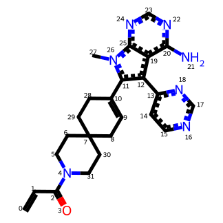 C=CC(=O)N1CCC2(CC=C(c3c(-c4ccncn4)c4c(N)ncnc4n3C)CC2)CC1